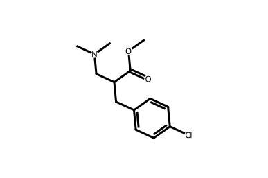 COC(=O)C(Cc1ccc(Cl)cc1)CN(C)C